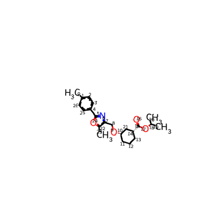 Cc1ccc(-c2nc(CO[C@H]3CCC[C@@H](C(=O)OC(C)C)C3)c(C)o2)cc1